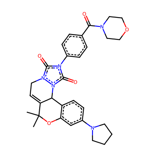 CC1(C)Oc2cc(N3CCCC3)ccc2C2C1=CCn1c(=O)n(-c3ccc(C(=O)N4CCOCC4)cc3)c(=O)n12